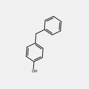 Oc1ccc(Cc2cc[c]cc2)cc1